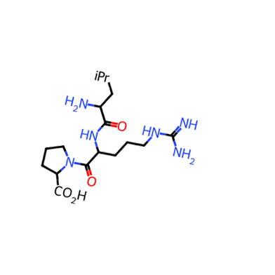 CC(C)CC(N)C(=O)NC(CCCNC(=N)N)C(=O)N1CCCC1C(=O)O